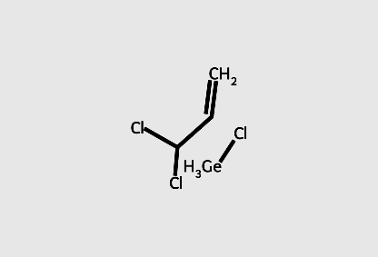 C=CC(Cl)Cl.[Cl][GeH3]